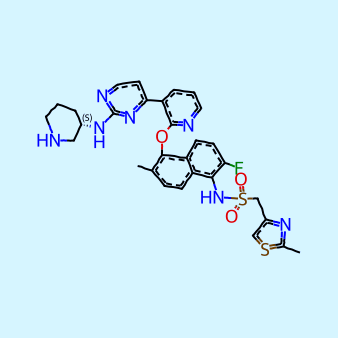 Cc1nc(CS(=O)(=O)Nc2c(F)ccc3c(Oc4ncccc4-c4ccnc(N[C@H]5CCCNC5)n4)c(C)ccc23)cs1